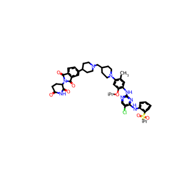 Cc1cc(Nc2ncc(Cl)c(Nc3ccccc3S(=O)(=O)C(C)C)n2)c(OC(C)C)cc1N1CCC(CN2CCC(c3ccc4c(c3)C(=O)N(C3CCC(=O)NC3=O)C4=O)CC2)CC1